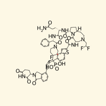 NC(=O)CC[C@H](NC(=O)[C@@H]1CC[C@@H]2CCN(CC(F)F)C[C@H](NC(=O)c3cc4cc(C(F)(F)P(=O)(O)O)ccc4s3)C(=O)N21)C(=O)N[C@H](C(=O)N1CCC(CCC#Cc2cccc3c2CN(C2CCC(=O)NC2=O)C3=O)CC1)c1ccccc1